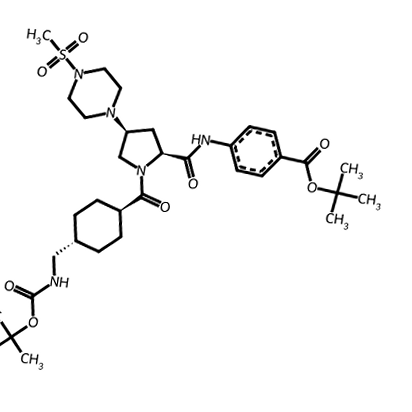 CC(C)(C)OC(=O)NC[C@H]1CC[C@H](C(=O)N2C[C@@H](N3CCN(S(C)(=O)=O)CC3)C[C@H]2C(=O)Nc2ccc(C(=O)OC(C)(C)C)cc2)CC1